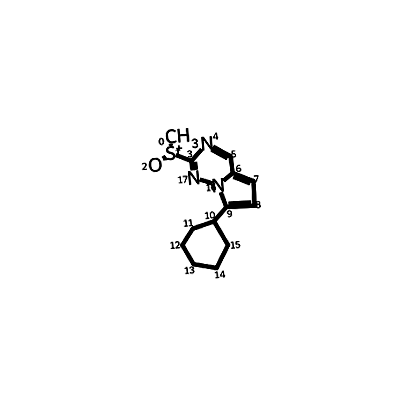 C[S+]([O-])c1ncc2ccc(C3CCCCC3)n2n1